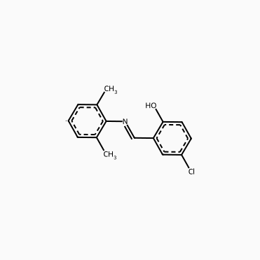 Cc1c[c]cc(C)c1N=Cc1cc(Cl)ccc1O